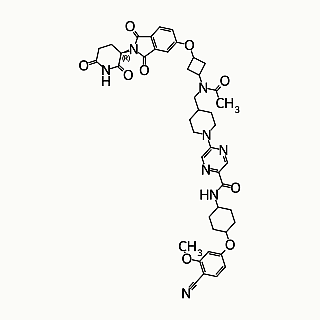 COc1cc(OC2CCC(NC(=O)c3cnc(N4CCC(CN(C(C)=O)C5CC(Oc6ccc7c(c6)C(=O)N([C@@H]6CCC(=O)NC6=O)C7=O)C5)CC4)cn3)CC2)ccc1C#N